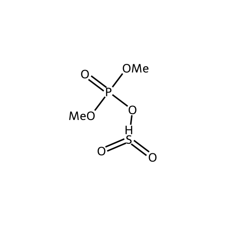 COP(=O)(OC)O[SH](=O)=O